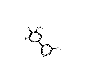 Nc1cc(-c2cccc(O)c2)c[nH]c1=O